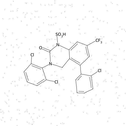 O=C1N(c2c(Cl)cccc2Cl)Cc2c(-c3ccccc3Cl)cc(C(F)(F)F)cc2N1S(=O)(=O)O